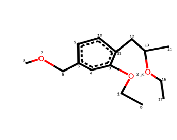 CCOc1cc(COC)ccc1CC(C)OCC